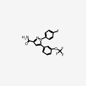 NC(=O)c1cc(-c2cccc(OC(F)(F)F)c2)n(-c2ccc(F)cc2)n1